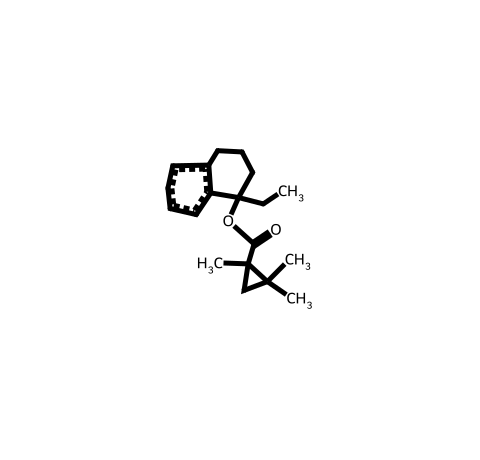 CCC1(OC(=O)C2(C)CC2(C)C)CCCc2ccccc21